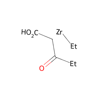 CCC(=O)CC(=O)O.C[CH2][Zr]